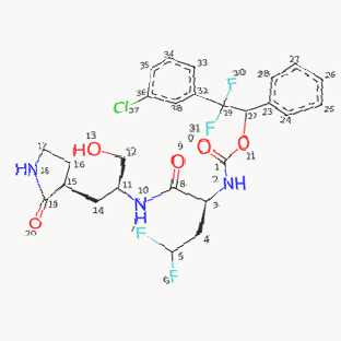 O=C(N[C@@H](CC(F)F)C(=O)N[C@H](CO)C[C@@H]1CCNC1=O)OC(c1ccccc1)C(F)(F)c1cccc(Cl)c1